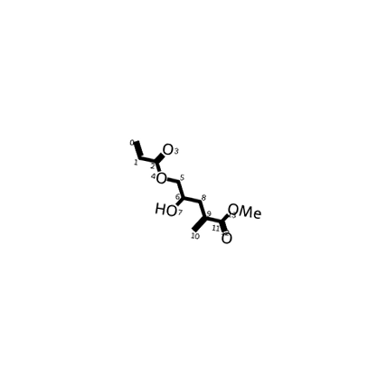 C=CC(=O)OCC(O)CC(=C)C(=O)OC